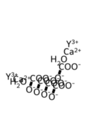 O.O.O=C([O-])[O-].O=C([O-])[O-].O=C([O-])[O-].O=C([O-])[O-].O=C([O-])[O-].[Ca+2].[Ca+2].[Y+3].[Y+3]